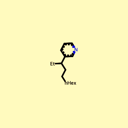 CCCCCCCCC(CC)c1cccnc1